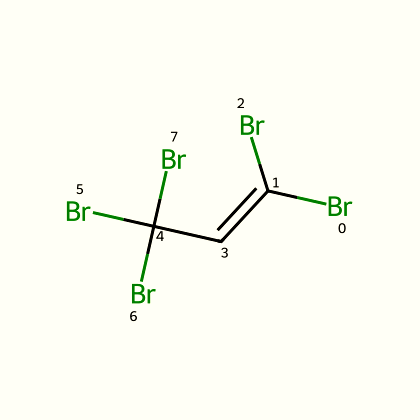 BrC(Br)=CC(Br)(Br)Br